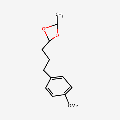 COc1ccc(CCCC2OC(C)O2)cc1